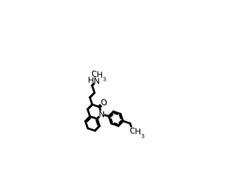 CCc1ccc(N2C(=O)C(CCCNC)CC3=CCCC=C32)cc1